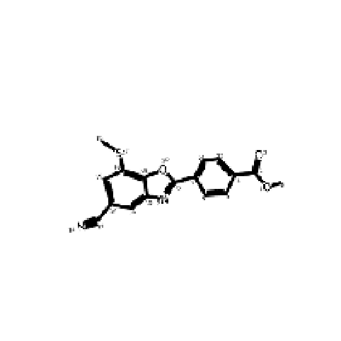 COC(=O)c1ccc(-c2nc3cc(C#N)cc(SC)c3o2)cc1